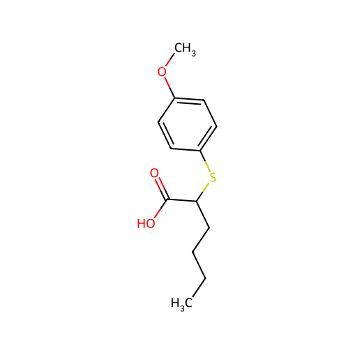 CCCCC(Sc1ccc(OC)cc1)C(=O)O